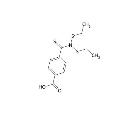 CCSN(SCC)C(=S)c1ccc(C(=O)O)cc1